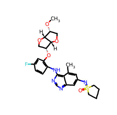 CO[C@@H]1CO[C@H]2[C@@H]1OC[C@H]2Oc1cc(F)ccc1Nc1ncnc2cc(N=S3(=O)CCCC3)cc(C)c12